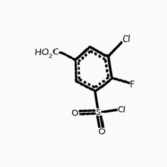 O=C(O)c1cc(Cl)c(F)c(S(=O)(=O)Cl)c1